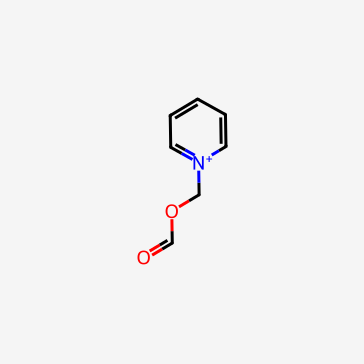 O=COC[n+]1ccccc1